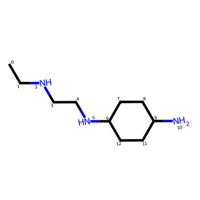 CCNCCNC1CCC(N)CC1